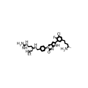 CCNC[C@@H](CCNC(=N)N)NCc1ccc(-n2cc3cc(-c4cc(CCC[C@H](C)N)cc(Cl)c4F)[nH]c3nc2=O)cc1